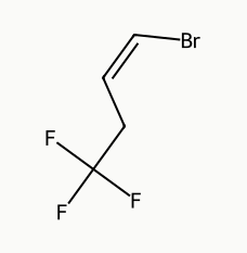 FC(F)(F)C/C=C\Br